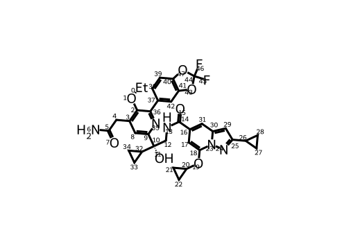 CCOc1c(CC(N)=O)cc([C@@](O)(CNC(=O)c2cc(OC3CC3)n3nc(C4CC4)cc3c2)C2CC2)nc1-c1ccc2c(c1)OC(F)(F)O2